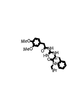 COc1ccc(CC(=O)NC(=N)N[C@H](Cc2ccccc2)C(=O)NCC(C)C)cc1OC